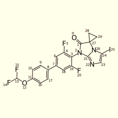 O=C1N(c2c(F)cc(-c3ccc(OC(F)F)cc3)cc2F)c2ncc(I)n2C12CC2